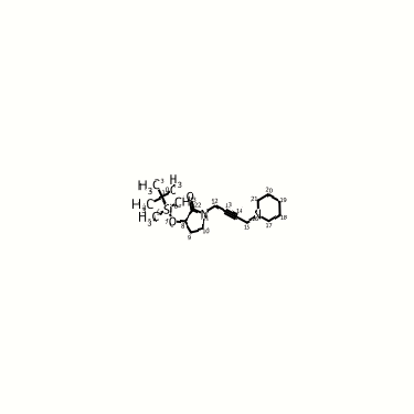 CC(C)(C)[Si](C)(C)OC1CCN(CC#CCN2CCCCC2)C1=O